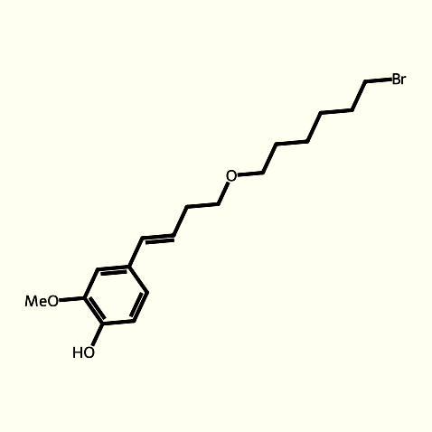 COc1cc(C=CCCOCCCCCCBr)ccc1O